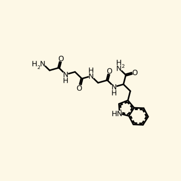 NCC(=O)NCC(=O)NCC(=O)NC(Cc1c[nH]c2ccccc12)C(N)=O